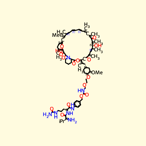 CO[C@H]1C[C@@H]2CC[C@@H](C)[C@@](O)(O2)C(=O)C(=O)N2CCCCC2C(=O)O[C@H]([C@@H](C)C[C@H]2CC[C@@H](OCCOCNC(=O)OCc3ccc(NC(=O)[C@H](CCCNC(N)=O)NC(=O)[C@@H](N)C(C)C)cc3)[C@H](OC)C2)CC(=O)[C@H](C)/C=C(\C)[C@@H](O)[C@@H](C)C(=O)[C@H](C)C[C@H](C)/C=C/C=C/C=C/1C